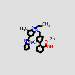 CCCc1nc2c(C)cc(-c3nc4ccccc4n3C)cc2n1Cc1ccc(-c2ccccc2C(=O)O)cc1.[Zn]